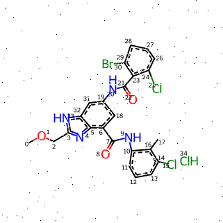 COCc1nc2c(C(=O)Nc3cccc(Cl)c3C)cc(NC(=O)c3c(Cl)cccc3Br)cc2[nH]1.Cl